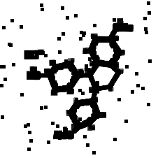 COc1ccc(N2CCc3cc(OC)ccc3C2c2ccc(O)cc2)cc1.Cl